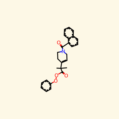 CC(C)(C(=O)OOc1ccccc1)C1=CCN(C(=O)c2cccc3ccccc23)CC1